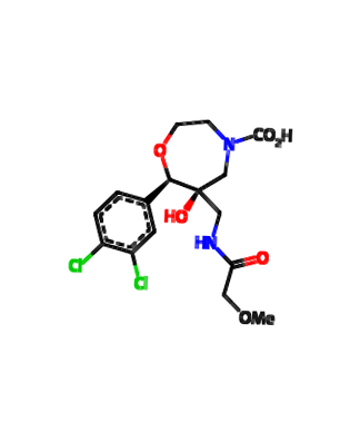 COCC(=O)NC[C@@]1(O)CN(C(=O)O)CCO[C@@H]1c1ccc(Cl)c(Cl)c1